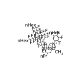 CCCC(CC)CCC(C)C[NH+](C)c1cc(F)c(F)c(F)c1F.CCCCCCC(F)(F)C(F)(F)C(F)(F)[B-](C(F)(F)C(F)(F)C(F)(F)CCCCCC)(C(F)(F)C(F)(F)C(F)(F)CCCCCC)C(F)(F)C(F)(F)C(F)(F)CCCCCC